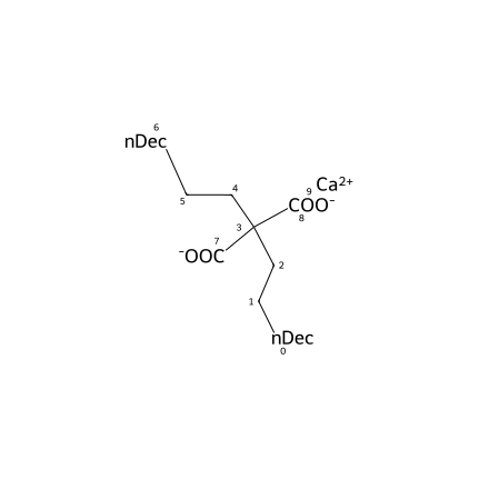 CCCCCCCCCCCCC(CCCCCCCCCCCC)(C(=O)[O-])C(=O)[O-].[Ca+2]